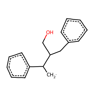 [CH2]C(c1ccccc1)C(CO)Cc1ccccc1